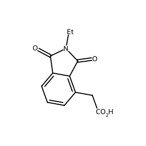 CCN1C(=O)c2cccc(CC(=O)O)c2C1=O